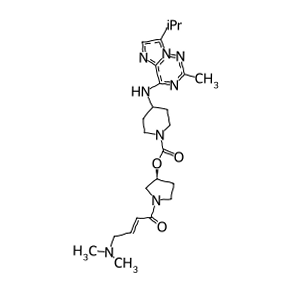 Cc1nc(NC2CCN(C(=O)O[C@H]3CCN(C(=O)/C=C/CN(C)C)C3)CC2)c2ncc(C(C)C)n2n1